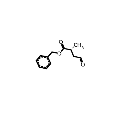 C[C@H](CC=O)C(=O)OCc1ccccc1